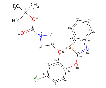 CC(C)(C)OC(=O)N1CC(Oc2cc(Cl)ccc2Oc2nc3ccccc3s2)C1